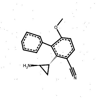 COc1ccc(C#N)c([C@@H]2C[C@H]2N)c1-c1ccccc1